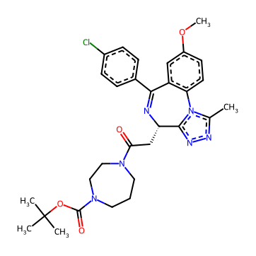 COc1ccc2c(c1)C(c1ccc(Cl)cc1)=N[C@@H](CC(=O)N1CCCN(C(=O)OC(C)(C)C)CC1)c1nnc(C)n1-2